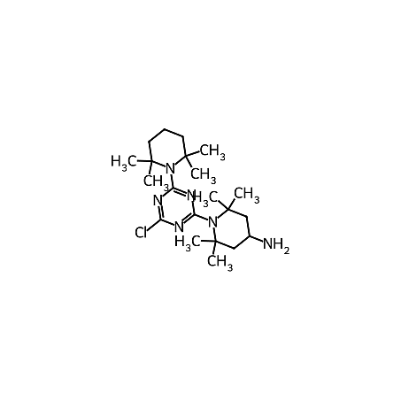 CC1(C)CCCC(C)(C)N1c1nc(Cl)nc(N2C(C)(C)CC(N)CC2(C)C)n1